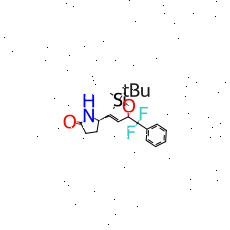 CC(C)(C)[Si](C)(C)O[C@H](C=C[C@H]1CCC(=O)N1)C(F)(F)c1ccccc1